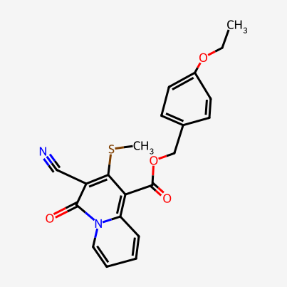 CCOc1ccc(COC(=O)c2c(SC)c(C#N)c(=O)n3ccccc23)cc1